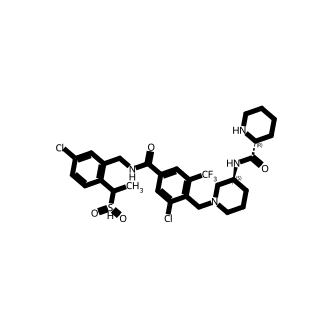 CC(c1ccc(Cl)cc1CNC(=O)c1cc(Cl)c(CN2CCC[C@H](NC(=O)[C@H]3CCCCN3)C2)c(C(F)(F)F)c1)[SH](=O)=O